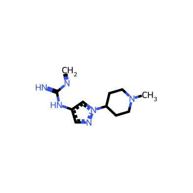 C=NC(=N)Nc1cnn(C2CCN(C)CC2)c1